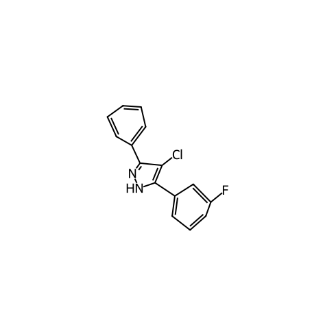 Fc1cccc(-c2[nH]nc(-c3ccccc3)c2Cl)c1